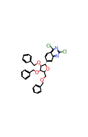 Clc1nc(Cl)c2ccc([C@@H]3OC(COCc4ccccc4)[C@@H](OCc4ccccc4)[C@H]3OCc3ccccc3)cc2n1